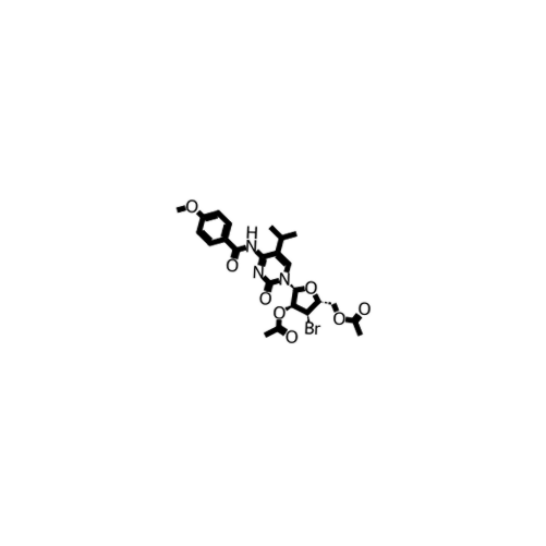 COc1ccc(C(=O)Nc2nc(=O)n([C@@H]3O[C@H](COC(C)=O)[C@H](Br)[C@H]3OC(C)=O)cc2C(C)C)cc1